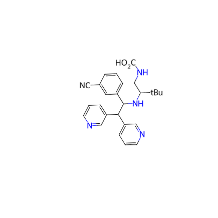 CC(C)(C)C(CNC(=O)O)NC(c1cccc(C#N)c1)C(c1cccnc1)c1cccnc1